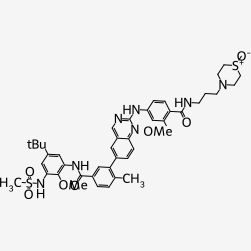 COc1cc(Nc2ncc3cc(-c4cc(C(=O)Nc5cc(C(C)(C)C)cc(NS(C)(=O)=O)c5OC)ccc4C)ccc3n2)ccc1C(=O)NCCCN1CC[S+]([O-])CC1